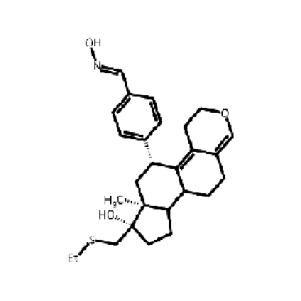 CCSC[C@]1(O)CCC2C3CCC4=COCCC4=C3[C@@H](c3ccc(/C=N/O)cc3)C[C@@]21C